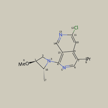 CO[C@H]1CN(c2ncc(C(C)C)c3cc(Cl)ncc23)[C@@H]1C